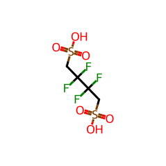 O=S(=O)(O)CC(F)(F)C(F)(F)CS(=O)(=O)O